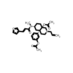 C=CCN1CC[C@@]2(c3cccc(OC(C)=O)c3)C[C@H](N(C)C(=O)/C=C/c3ccoc3)CC[C@]2(OC(C)=O)C1